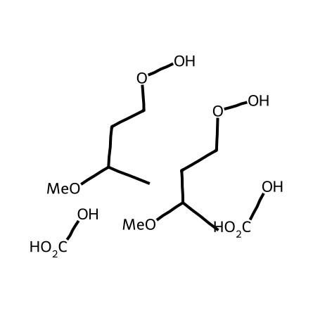 COC(C)CCOO.COC(C)CCOO.O=C(O)O.O=C(O)O